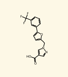 O=C(O)c1cnn(Cc2ccc(-c3cccc(C(F)(F)F)c3)o2)c1